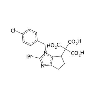 CC(C)c1nc2c(n1Cc1ccc(Cl)cc1)C(C(C(=O)O)(C(=O)O)C(=O)O)CC2